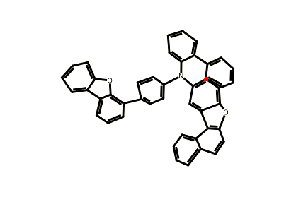 c1ccc(-c2ccccc2N(c2ccc(-c3cccc4c3oc3ccccc34)cc2)c2ccc3oc4ccc5ccccc5c4c3c2)cc1